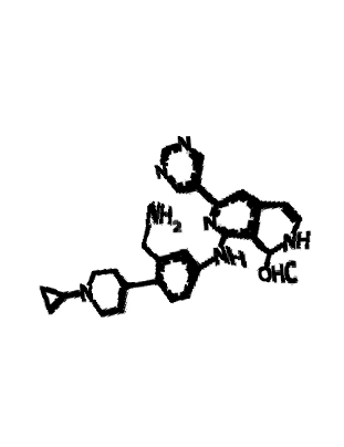 NCc1cc(Nc2nc(-c3cncnc3)cc3c2C(C=O)NC=C3)ccc1C1CCN(C2CC2)CC1